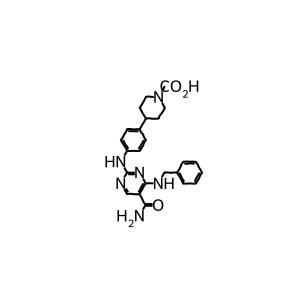 NC(=O)c1cnc(Nc2ccc(C3CCN(C(=O)O)CC3)cc2)nc1NCc1ccccc1